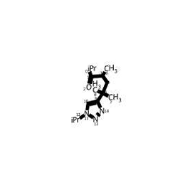 CC(C)C(=O)C(C)CC(C)(C)c1cn(C(C)C)nn1